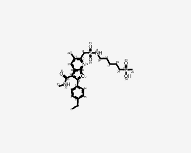 CCc1ccc(-c2oc3nc(CS(=O)(=O)NCCCCCP(C)(=O)O)c(I)cc3c2C(=O)NC)cc1